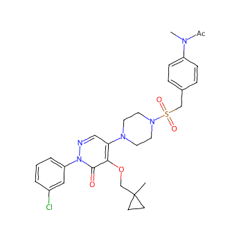 CC(=O)N(C)c1ccc(CS(=O)(=O)N2CCN(c3cnn(-c4cccc(Cl)c4)c(=O)c3OCC3(C)CC3)CC2)cc1